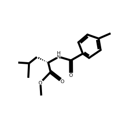 COC(=O)[C@H](CC(C)C)NC(=O)c1ccc(C)cc1